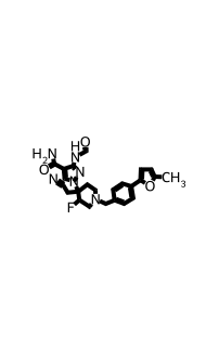 Cc1ccc(-c2ccc(CN3CCC(CC#N)(n4cc(C(N)=O)c(NC=O)n4)C(F)C3)cc2)o1